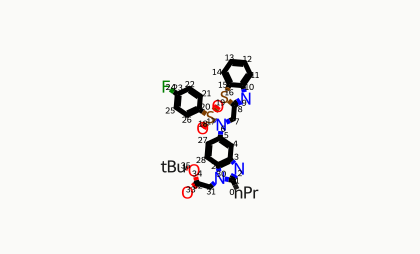 CCCc1nc2cc(N(Cc3nc4ccccc4s3)S(=O)(=O)c3ccc(F)cc3)ccc2n1CC(=O)OC(C)(C)C